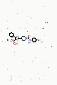 CC(O)c1sc(C2CCN(C(=O)Nc3ccc(C(F)(F)F)cc3)CC2)nc1-c1ccccc1